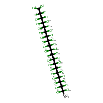 ClC(Cl)C(Cl)(Cl)C(Cl)(Cl)C(Cl)(Cl)C(Cl)(Cl)C(Cl)(Cl)C(Cl)(Cl)C(Cl)(Cl)C(Cl)(Cl)C(Cl)(Cl)C(Cl)(Cl)C(Cl)(Cl)C(Cl)(Cl)C(Cl)(Cl)C(Cl)(Cl)C(Cl)(Cl)C(Cl)(Cl)C(Cl)(Cl)C(Cl)(Cl)C(Cl)(Cl)Cl